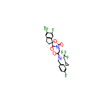 O=C1OC2(CCc3cc(Br)c(F)cc32)C(=O)N1CC(=O)N(Cc1ccc(F)cc1)[C@@H](C1CC1)C(F)(F)F